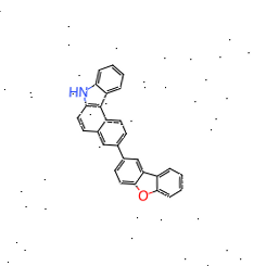 c1ccc2c(c1)[nH]c1ccc3cc(-c4ccc5oc6ccccc6c5c4)ccc3c12